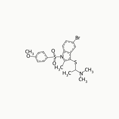 COc1ccc(S(=O)(=O)n2c(C)c(SC(C)N(C)C)c3cc(Br)ccc32)cc1